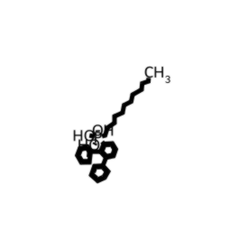 CCCCCCCCCCCCP(O)(O)(O)c1cccc(-c2ccccc2)c1-c1ccccc1